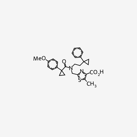 COc1ccc(C2(C(=O)N(CCC3(c4ccccc4)CC3)Cc3nc(C(=O)O)c(C)s3)CC2)cc1